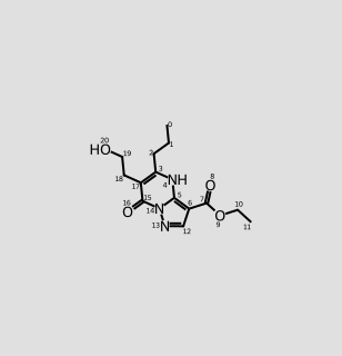 CCCc1[nH]c2c(C(=O)OCC)cnn2c(=O)c1CCO